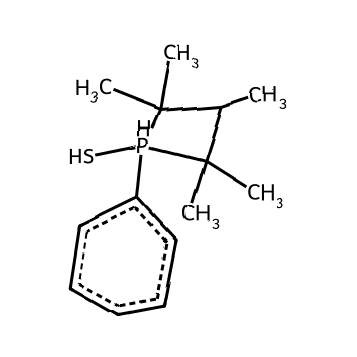 CC1C(C)(C)[PH](S)(c2ccccc2)C1(C)C